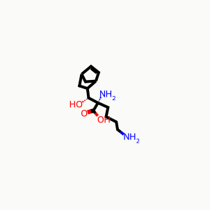 NCCCC[C@@](N)(C(=O)O)[C@H](O)C1CC2C=CC1C2